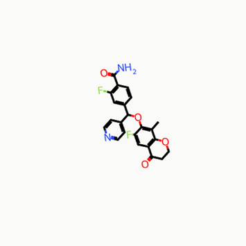 Cc1c(OC(c2ccncc2)c2ccc(C(N)=O)c(F)c2)c(F)cc2c1OCCC2=O